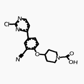 N#Cc1cc(-c2ccnc(Cl)n2)ccc1OC1CCN(C(=O)O)CC1